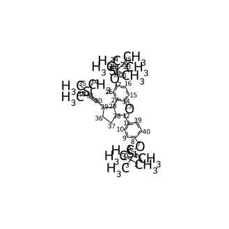 CC(C)(C)[Si](C)(C)Oc1ccc(C2Oc3ccc(O[Si](C)(C)C(C)(C)C)cc3C3C(C#C[Si](C)(C)C)CCC23)cc1